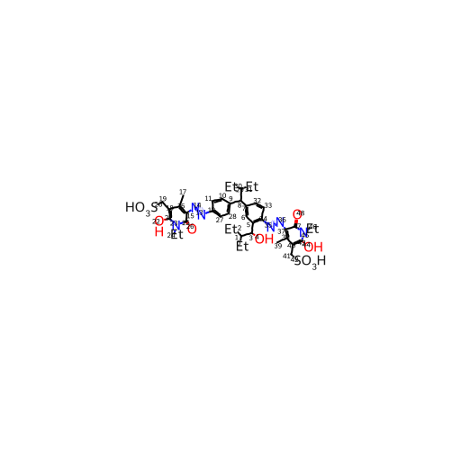 CCC(CC)C(O)c1cc(C(c2ccc(/N=N/c3c(C)c(CS(=O)(=O)O)c(O)n(CC)c3=O)cc2)C(CC)CC)ccc1/N=N/c1c(C)c(CS(=O)(=O)O)c(O)n(CC)c1=O